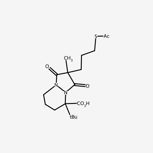 CC(=O)SCCCC1(C)C(=O)N2CCCC(C(=O)O)(C(C)(C)C)N2C1=O